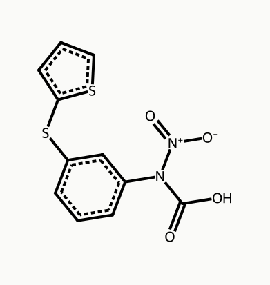 O=C(O)N(c1cccc(Sc2cccs2)c1)[N+](=O)[O-]